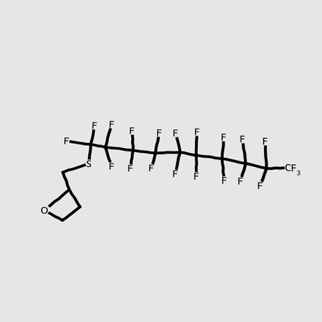 FC(F)(F)C(F)(F)C(F)(F)C(F)(F)C(F)(F)C(F)(F)C(F)(F)C(F)(F)C(F)(F)C(F)(F)SCC1CCO1